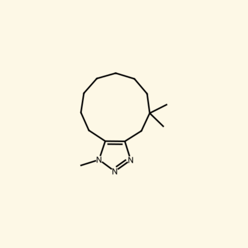 Cn1nnc2c1CCCCCCCC(C)(C)C2